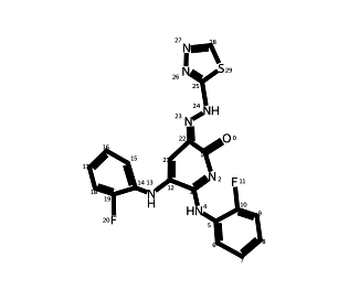 O=C1N=C(Nc2ccccc2F)C(Nc2ccccc2F)=CC1=NNc1nncs1